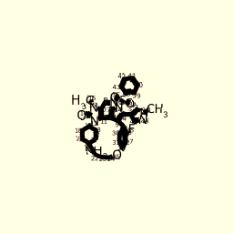 Cn1cc(-c2c3c4c(ncc5c4n(c(=O)n5C)C4CCC(N)(CCCOc5ccc-3cc5)CC4)n2S(=O)(=O)c2ccccc2)c(F)n1